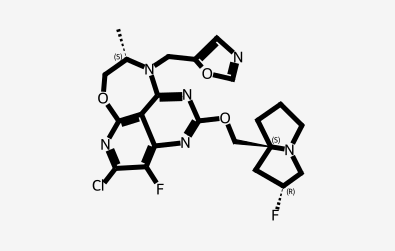 C[C@H]1COc2nc(Cl)c(F)c3nc(OC[C@@]45CCCN4C[C@H](F)C5)nc(c23)N1Cc1cnco1